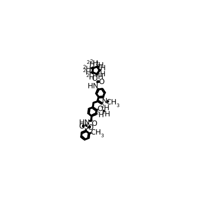 [2H]C([2H])([2H])Oc1cc(C(=O)NS(=O)(=O)c2ccccc2C)ccc1Cc1cn(C)c2ccc(NC(=O)OC3([2H])C([2H])([2H])C([2H])([2H])C([2H])([2H])C3([2H])[2H])cc12